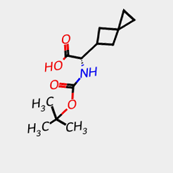 CC(C)(C)OC(=O)N[C@H](C(=O)O)C1CC2(CC2)C1